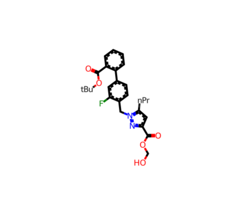 CCCc1cc(C(=O)OCO)nn1Cc1ccc(-c2ccccc2C(=O)OC(C)(C)C)cc1F